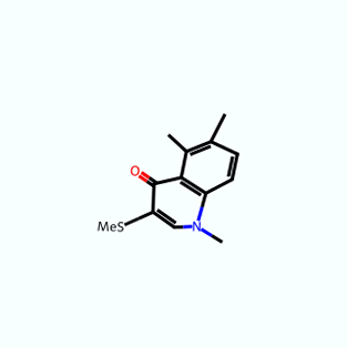 CSc1cn(C)c2ccc(C)c(C)c2c1=O